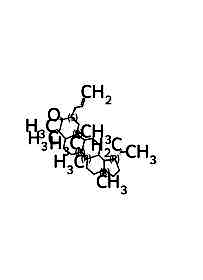 C=CC[C@H]1C[C@@]2(C)C(CC[C@]3(C)C2CCC2C4[C@H](C(=C)C)CC[C@]4(C)CC[C@]23C)C(C)(C)C1=O